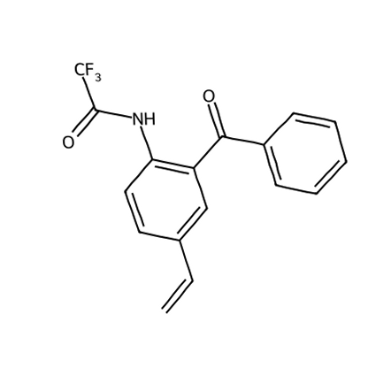 C=Cc1ccc(NC(=O)C(F)(F)F)c(C(=O)c2ccccc2)c1